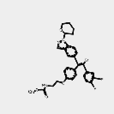 CC/C(=C(/c1ccc(OCCNC(=O)OC(C)(C)C)cc1)c1ccc2c(cnn2C2CCCCO2)c1)c1ccc(F)c(F)c1